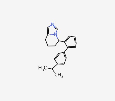 CC(C)c1ccc(-c2ccccc2C2CCCc3cncn32)cc1